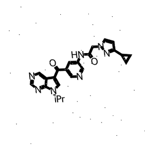 CC(C)n1cc(C(=O)c2cncc(NC(=O)Cn3ccc(C4CC4)n3)c2)c2cncnc21